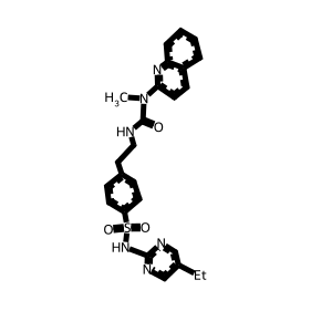 CCc1cnc(NS(=O)(=O)c2ccc(CCNC(=O)N(C)c3ccc4ccccc4n3)cc2)nc1